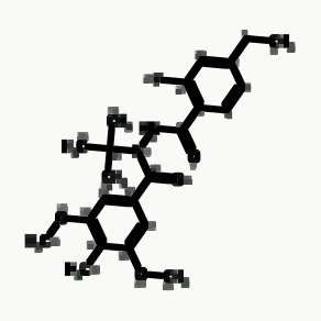 CCc1ccc(C(=O)NN(C(=O)c2cc(OC)c(C)c(OC)c2)C(C)(C)C)c(F)c1